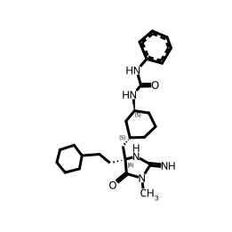 CN1C(=N)N[C@](CCC2CCCCC2)(C[C@H]2CCC[C@H](NC(=O)Nc3ccccc3)C2)C1=O